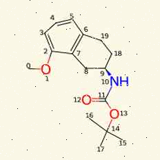 COc1cccc2c1C[C@H](NC(=O)OC(C)(C)C)CC2